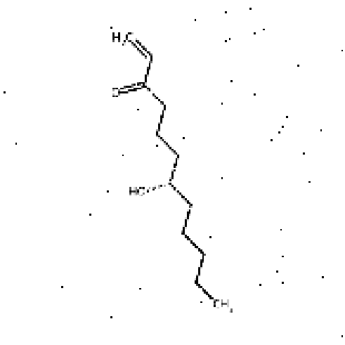 C=CC(=O)CCC[C@@H](O)CCCCC